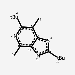 Cc1nc(C(C)(C)C)c(C)c2sc(C(C)(C)C)nc12